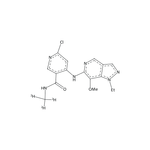 [2H]C([2H])([2H])NC(=O)c1cnc(Cl)cc1Nc1ncc2cnn(CC)c2c1OC